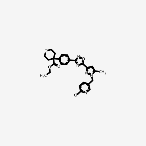 CCOC(=O)C1(c2ccc(-c3noc(-c4cc(C)n(Cc5ccc(Cl)nc5)n4)n3)cc2)CCOCC1